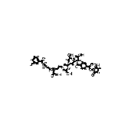 O=C(O)CN(CCN[C@H](CCCCNC(=O)c1cccc(I)c1)C(=O)O)CCN(CCN(CC(=O)O)C(=O)C1CCC(C(=O)ON2C(=O)CCC2O)CC1)CC(=O)O